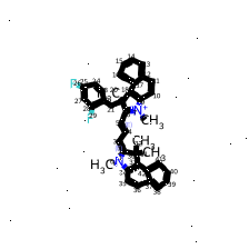 CN1/C(=C/C=C/C2=[N+](C)c3ccc4ccccc4c3C2(C)Cc2ccc(F)cc2F)C(C)(C)c2c1ccc1ccccc21